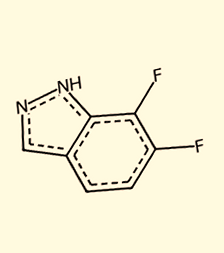 Fc1ccc2cn[nH]c2c1F